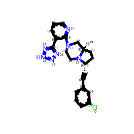 Clc1cccc(C#C[C@H]2CC[C@H]3CN(c4ncccc4-c4nn[nH]n4)CCN32)c1